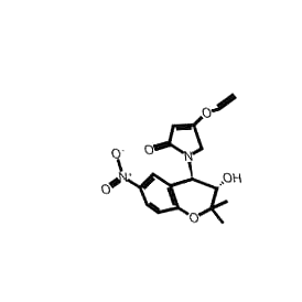 C=COC1=CC(=O)N([C@@H]2c3cc([N+](=O)[O-])ccc3OC(C)(C)[C@H]2O)C1